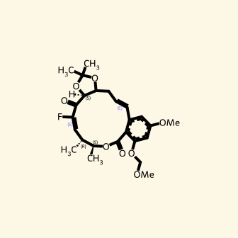 COCOc1cc(OC)cc2c1C(=O)O[C@@H](C)[C@H](C)/C=C(/F)C(=O)[C@H]1OC(C)(C)OC1C/C=C/2